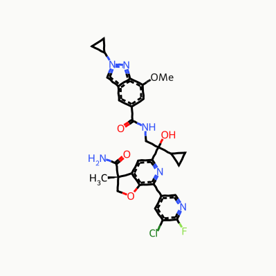 COc1cc(C(=O)NCC(O)(c2cc3c(c(-c4cnc(F)c(Cl)c4)n2)OC[C@]3(C)C(N)=O)C2CC2)cc2cn(C3CC3)nc12